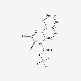 C[C@@H](C(=O)O)N(C(=O)OC(C)(C)C)c1ccc2ccccc2c1